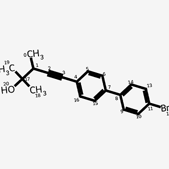 CC(C#Cc1ccc(-c2ccc(Br)cc2)cc1)C(C)(C)O